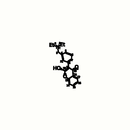 CCN(CC)Cc1cccc(-c2c(O)oc3ccccc3c2=O)c1